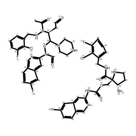 CC(=O)N(NCc1cccc(F)c1Cl)[C@@H](CC=O)C(ON(C=O)c1cc2cc(F)ccc2cn1)N1CCNCC1.N[C@H]1CCN[C@@]1(COC(=O)Nc1cc2cc(F)ccc2cn1)C(=O)NCc1cccc(F)c1Cl